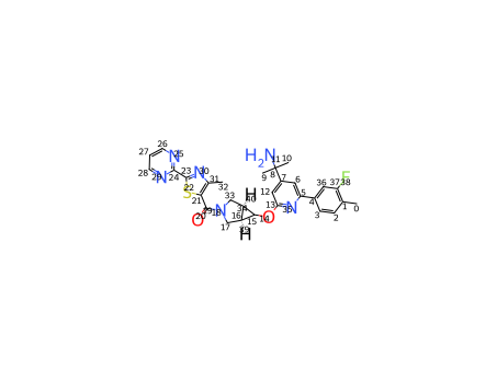 Cc1ccc(-c2cc(C(C)(C)N)cc(OC3[C@H]4CN(C(=O)c5sc(-c6ncccn6)nc5C)C[C@@H]34)n2)cc1F